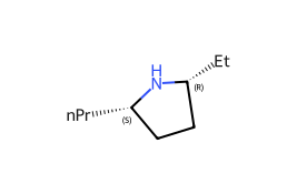 CCC[C@H]1CC[C@@H](CC)N1